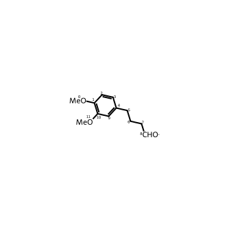 COc1ccc(CCC[C]=O)cc1OC